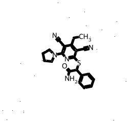 CCc1c(C#N)c(SC(C(N)=O)c2ccccc2)nc(N2C[CH]CC2)c1C#N